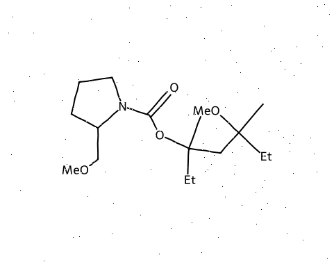 CCC(C)(CC(C)(CC)OC(=O)N1CCCC1COC)OC